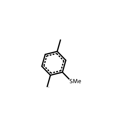 [CH2]c1ccc(C)cc1SC